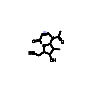 CC(=O)/C=C\N(C(C)=O)C1OC(CO)C(O)C1C